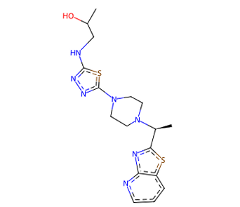 CC(O)CNc1nnc(N2CCN([C@@H](C)c3nc4ncccc4s3)CC2)s1